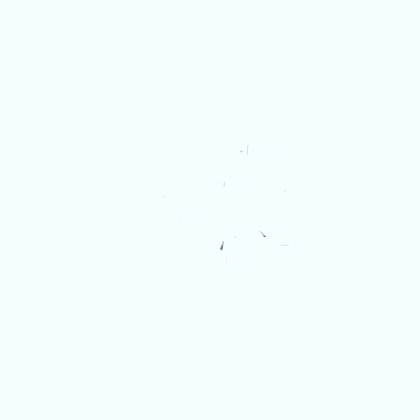 CC(=O)OCC1O[C@H](Br)C(O)[C@@H](O)[C@H]1O